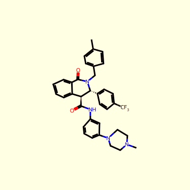 Cc1ccc(CN2C(=O)c3ccccc3[C@H](C(=O)Nc3cccc(N4CCN(C)CC4)c3)[C@H]2c2ccc(C(F)(F)F)cc2)cc1